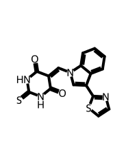 O=C1NC(=S)NC(=O)C1=Cn1cc(-c2nccs2)c2ccccc21